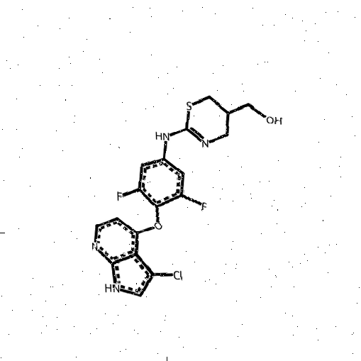 OCC1CN=C(Nc2cc(F)c(Oc3ccnc4[nH]cc(Cl)c34)c(F)c2)SC1